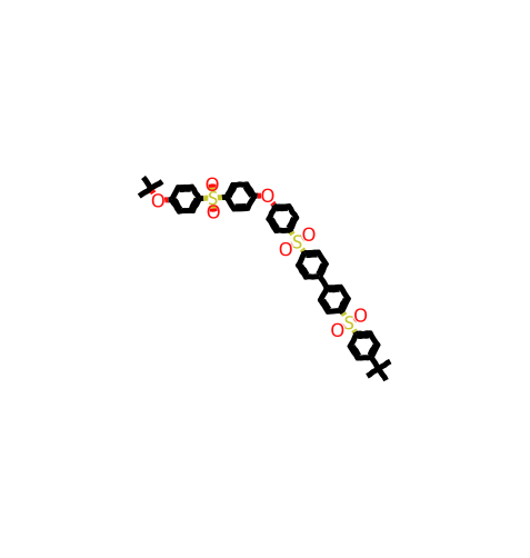 CC(C)(C)Oc1ccc(S(=O)(=O)c2ccc(Oc3ccc(S(=O)(=O)c4ccc(-c5ccc(S(=O)(=O)c6ccc(C(C)(C)C)cc6)cc5)cc4)cc3)cc2)cc1